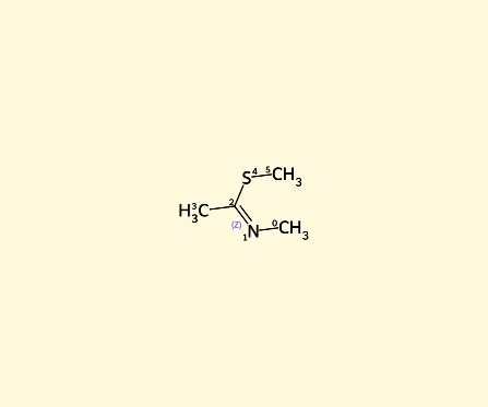 C/N=C(/C)SC